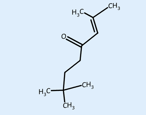 CC(C)=CC(=O)CCC(C)(C)C